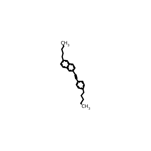 CCCCCc1ccc(C#Cc2ccc3cc(CCCCC)ccc3c2)cc1